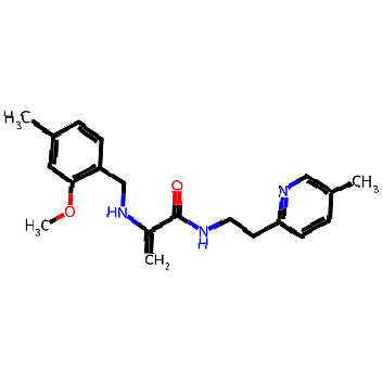 C=C(NCc1ccc(C)cc1OC)C(=O)NCCc1ccc(C)cn1